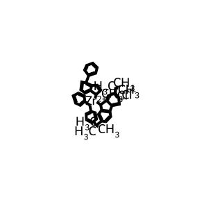 CC1=Cc2c(-c3ccccc3)cccc2[CH]1[Zr+2](=[C](c1ccccc1)c1ccccc1)[CH]1c2cc(C(C)(C)C)ccc2-c2ccc(C(C)(C)C)cc21.[Cl-].[Cl-]